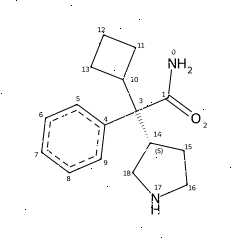 NC(=O)C(c1ccccc1)(C1CCC1)[C@@H]1CCNC1